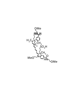 C=C(/C=C/C=C/C=C/C=C1/N(CCOC)c2ccc(C(=O)NCCOC)cc2C1(C)CCCS(=O)(=O)O)C(C)(CCCS(=O)(=O)O)c1cc(C(=O)NCCOC)ccc1C